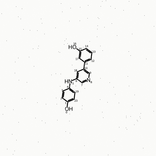 Oc1ccc(Nc2cncc(-c3cccc(O)c3)c2)cc1